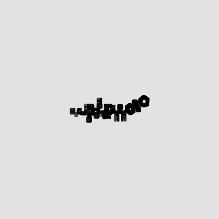 CCNC(=O)[C@H]1O[C@@H](n2cnc3c(NC(=O)Nc4ccc(S(=O)(=O)N5CCCCC5)cc4)ncnc32)[C@@H](O)C1O